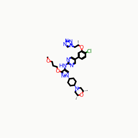 COCCCOc1nn([C@H]2CC[C@H](N3C[C@@H](C)O[C@@H](C)C3)CC2)cc1Nc1ncc(-c2ccc(Cl)c(O[C@@H](C)Cn3cnnn3)c2)cn1